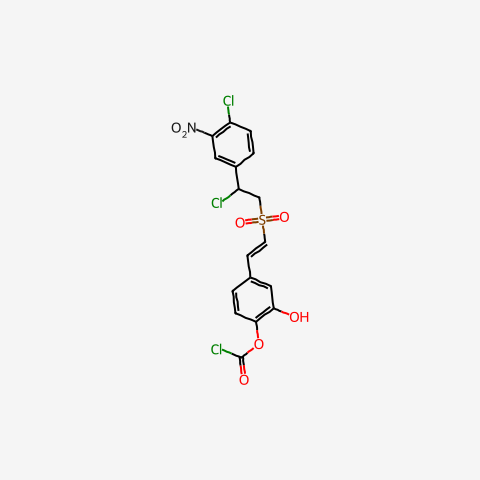 O=C(Cl)Oc1ccc(/C=C/S(=O)(=O)CC(Cl)c2ccc(Cl)c([N+](=O)[O-])c2)cc1O